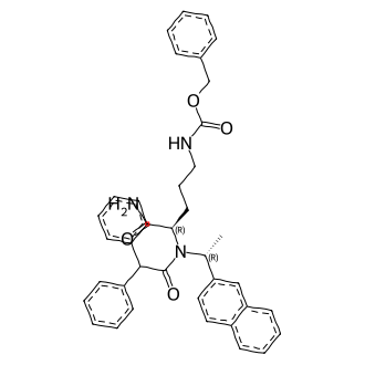 C[C@H](c1ccc2ccccc2c1)N(C(=O)C(c1ccccc1)c1ccccc1)[C@H](CCCNC(=O)OCc1ccccc1)C(N)=O